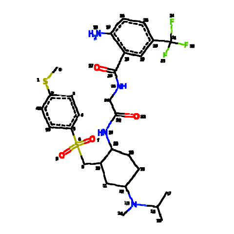 CSc1ccc(S(=O)(=O)CC2CC(N(C)C(C)C)CCC2NC(=O)CNC(=O)c2cc(C(F)(F)F)ccc2N)cc1